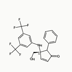 O=C1C=C[C@](CO)(Nc2cc(C(F)(F)F)cc(C(F)(F)F)c2)C1c1ccccc1